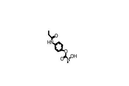 CCC(=O)Nc1ccc(OC(=O)N(C)O)cc1